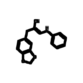 N#CC(=CNc1ccccc1)Cc1ccc2c(c1)OCO2